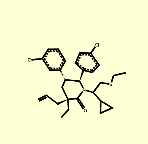 C=CC[C@@]1(CC)C[C@H](c2cccc(Cl)c2)[C@@H](c2ccc(Cl)cc2)N(C(CSCC)C2CC2)C1=O